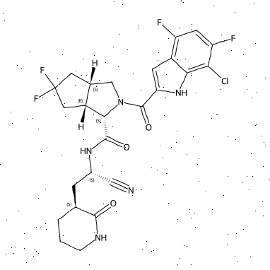 N#C[C@H](C[C@@H]1CCCNC1=O)NC(=O)[C@@H]1[C@@H]2CC(F)(F)C[C@@H]2CN1C(=O)c1cc2c(F)cc(F)c(Cl)c2[nH]1